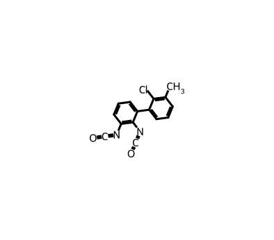 Cc1cccc(-c2cccc(N=C=O)c2N=C=O)c1Cl